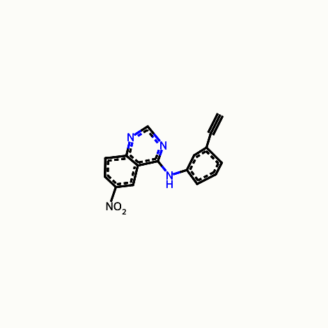 C#Cc1cccc(Nc2ncnc3ccc([N+](=O)[O-])cc23)c1